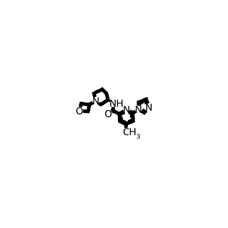 Cc1cc(C(=O)N[C@@H]2CCCN(C3COC3)C2)nc(-n2ccnc2)c1